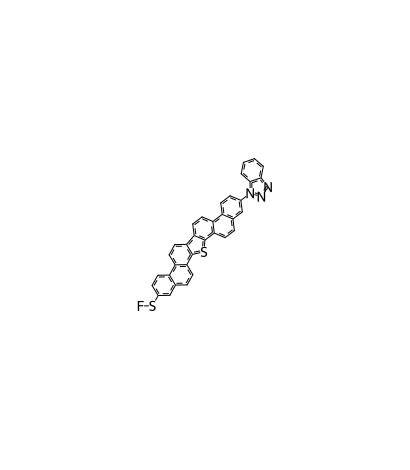 FSc1ccc2c(ccc3c2ccc2c4ccc5c6ccc(-n7nnc8ccccc87)cc6ccc5c4sc32)c1